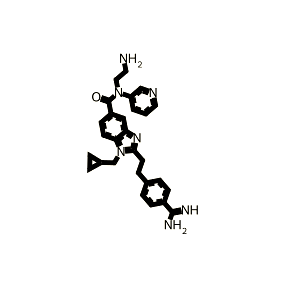 N=C(N)c1ccc(CCc2nc3cc(C(=O)N(CCN)c4cccnc4)ccc3n2CC2CC2)cc1